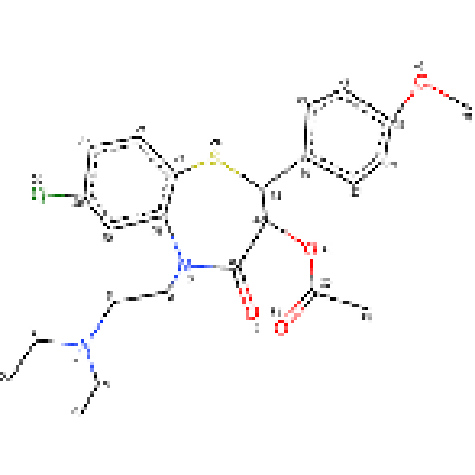 CCN(CC)CCN1C(=O)C(OC(C)=O)C(c2ccc(OC)cc2)Sc2ccc(Cl)cc21